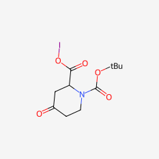 CC(C)(C)OC(=O)N1CCC(=O)CC1C(=O)OI